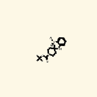 CC1(Nc2ccccc2[N+](=O)[O-])CCN(C(=O)OC(C)(C)C)CC1